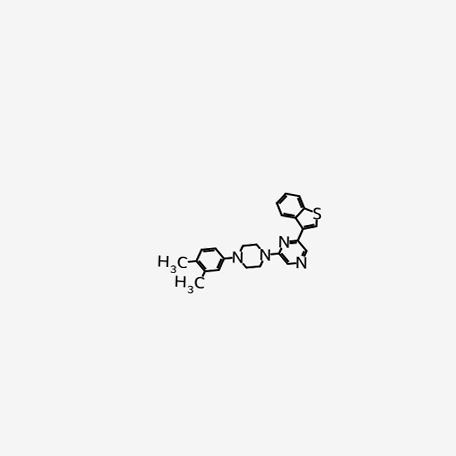 Cc1ccc(N2CCN(c3cncc(-c4csc5ccccc45)n3)CC2)cc1C